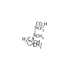 CC1=C(/C=C/C(C)=C/CC/C(=C/C(=O)O)C(F)(F)F)C(C)(C)CCC1